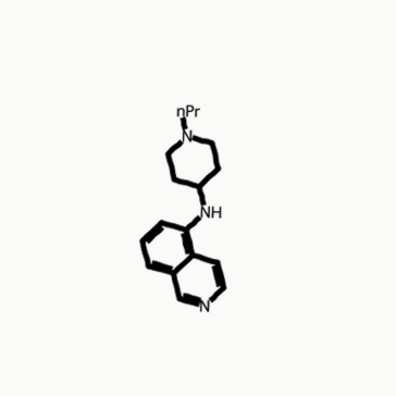 CCCN1CCC(Nc2cccc3cnccc23)CC1